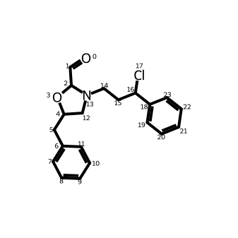 O=CC1OC(Cc2ccccc2)CN1CCC(Cl)c1ccccc1